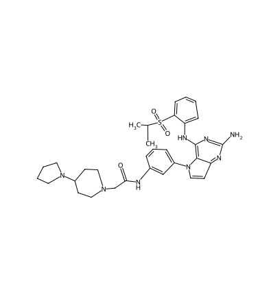 CC(C)S(=O)(=O)c1ccccc1Nc1nc(N)nc2ccn(-c3cccc(NC(=O)CN4CCC(N5CCCC5)CC4)c3)c12